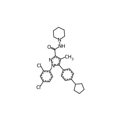 Cc1c(C(=O)NN2CCCCC2)nn(-c2ccc(Cl)cc2Cl)c1-c1ccc(C2CCCC2)cc1